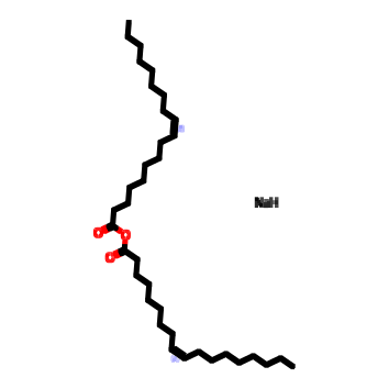 CCCCCCCC/C=C\CCCCCCCC(=O)OC(=O)CCCCCCC/C=C\CCCCCCCC.[NaH]